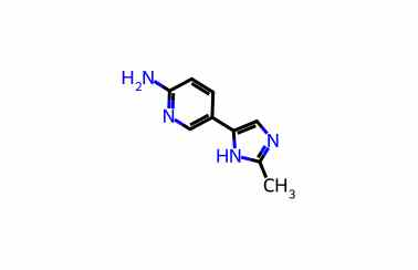 Cc1ncc(-c2ccc(N)nc2)[nH]1